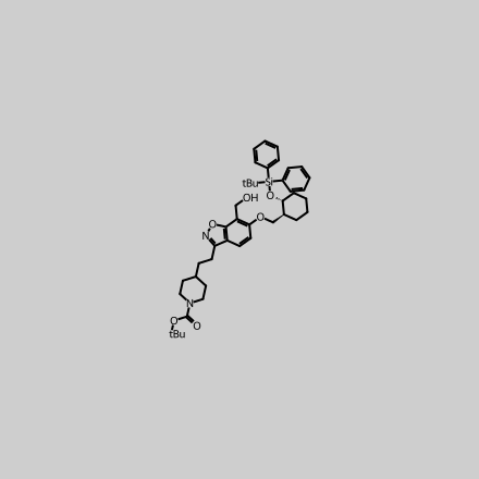 CC(C)(C)OC(=O)N1CCC(CCc2noc3c(CO)c(OC[C@@H]4CCCC[C@H]4O[Si](c4ccccc4)(c4ccccc4)C(C)(C)C)ccc23)CC1